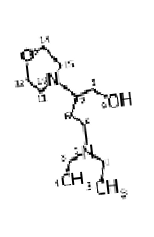 CCN(CC)CCC(CO)N1CCOCC1